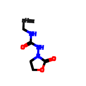 CCCCCCCNC(=O)NN1CCOC1=O